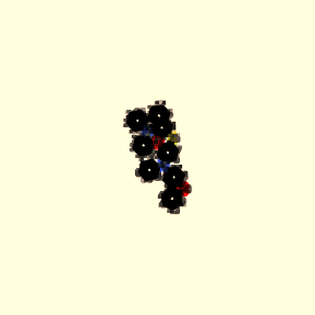 c1ccc(N(c2ccc3c(c2)Oc2c(cc4ccccc4c2N(c2ccccc2)c2ccccc2)S3)c2ccc3oc4ccccc4c3c2)cc1